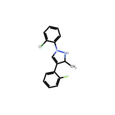 CC1NN(c2ccccc2Cl)C=C1c1ccccc1F